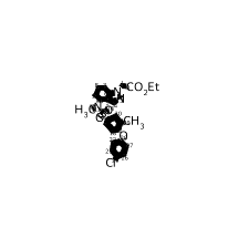 CCOC(=O)Cn1ncc2c1CCC[C@H]2N(C)S(=O)(=O)c1ccc(Oc2ccc(Cl)cc2)c(C)c1